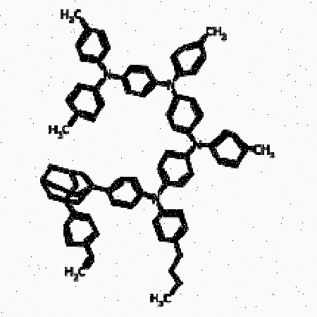 C=Cc1ccc(C23CC4CC(C2)CC(c2ccc(N(c5ccc(CCCC)cc5)c5ccc(N(c6ccc(C)cc6)c6ccc(N(c7ccc(C)cc7)c7ccc(N(c8ccc(C)cc8)c8ccc(C)cc8)cc7)cc6)cc5)cc2)(C4)C3)cc1